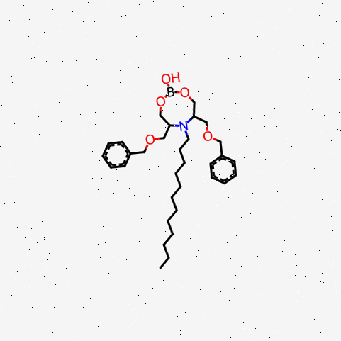 CCCCCCCCCCCCN1C(COCc2ccccc2)COB(O)OCC1COCc1ccccc1